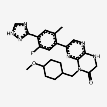 COC1CCC(CN2C(=O)CNc3ncc(-c4cc(F)c(-c5nc[nH]n5)cc4C)nc32)CC1